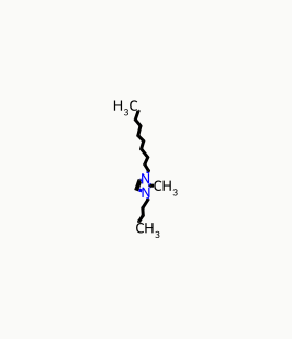 CCCCCCCCCCN1C=CN(CCCCC)C1C